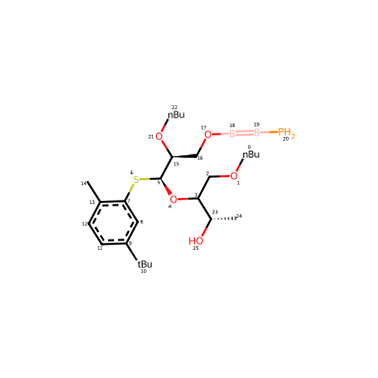 CCCCOCC(O[C@@H](Sc1cc(C(C)(C)C)ccc1C)[C@H](COB=BP)OCCCC)[C@H](C)O